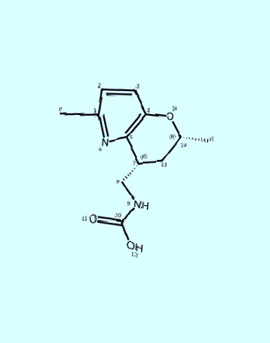 Cc1ccc2c(n1)[C@@H](CNC(=O)O)C[C@@H](C)O2